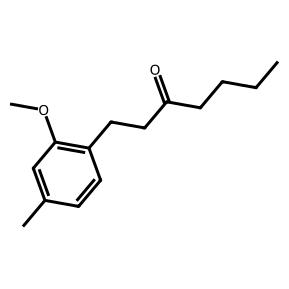 CCCCC(=O)CCc1ccc(C)cc1OC